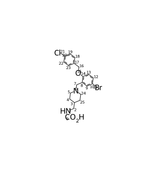 O=C(O)NCC1CCN(Cc2cc(Br)ccc2OCc2ccc(Cl)cc2)CC1